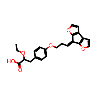 CCOC(Cc1ccc(OCCC=C2c3occc3-c3ccoc32)cc1)C(=O)O